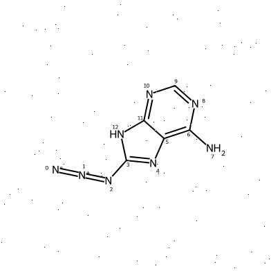 [N-]=[N+]=Nc1nc2c(N)ncnc2[nH]1